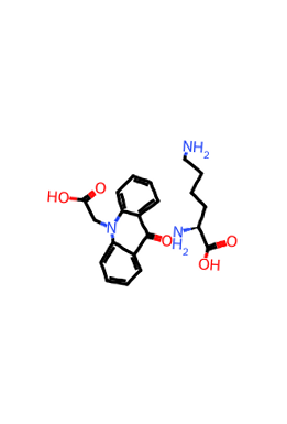 NCCCC[C@H](N)C(=O)O.O=C(O)Cn1c2ccccc2c(=O)c2ccccc21